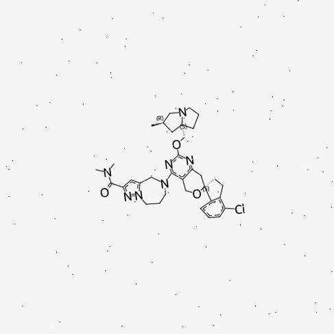 C[C@H]1CN2CCC[C@@]2(COc2nc3c(c(N4CCCn5nc(C(=O)N(C)C)cc5C4)n2)CO[C@@]2(CCc4c(Cl)cccc42)C3)C1